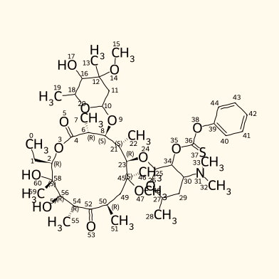 CC[C@H]1OC(=O)[C@H](C)[C@@H](OC2CC(C)(OC)C(O)C(C)O2)[C@H](C)[C@@H](OC2OC(C)CC(N(C)C)C2OC(=S)Oc2ccccc2)[C@@](C)(OC)C[C@@H](C)C(=O)[C@H](C)[C@@H](O)[C@]1(C)O